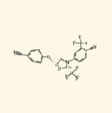 N#Cc1ccc(OC[C@@H]2CN(c3ccc(C#N)c(C(F)(F)F)c3)[C@H](C(F)(F)F)O2)cc1